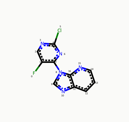 Fc1cnc(Cl)nc1-n1cnc2cccnc21